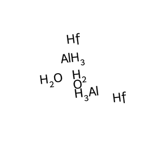 O.O.[AlH3].[AlH3].[Hf].[Hf]